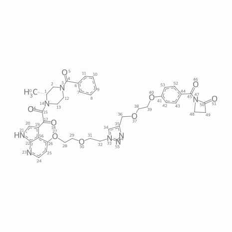 C[C@@H]1CN(C(=O)c2ccccc2)CCN1C(=O)C(=O)c1c[nH]c2nccc(OCCOCCn3cc(COCCOc4ccc(C(=O)N5CCC5=O)cc4)nn3)c12